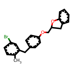 Cc1ccc(Br)cc1Cc1ccc(OCC2Cc3ccccc3O2)cc1